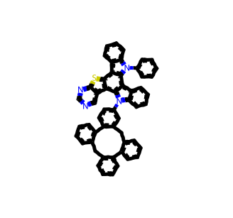 c1ccc(-n2c3ccccc3c3c4sc5ncncc5c4c4c(c5ccccc5n4-c4ccc5c(c4)Cc4ccccc4-c4ccccc4Cc4ccccc4-5)c32)cc1